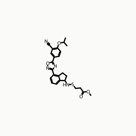 COC(=O)CCSNC1CCc2c(-c3noc(-c4ccc(OC(C)C)c(C#N)c4)n3)cccc21